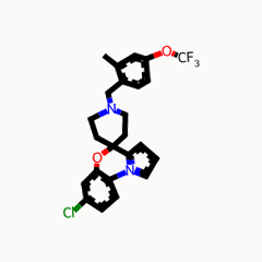 Cc1cc(OC(F)(F)F)ccc1CN1CCC2(CC1)Oc1cc(Cl)ccc1-n1cccc12